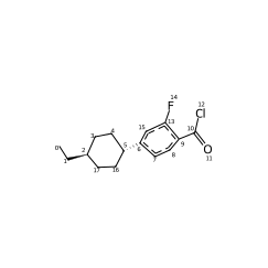 CC[C@H]1CC[C@H](c2ccc(C(=O)Cl)c(F)c2)CC1